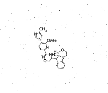 COc1nc(C2=NOCC(C3c4ccccc4N4CCOCC34C)N2)ccc1-n1cnc(C)c1